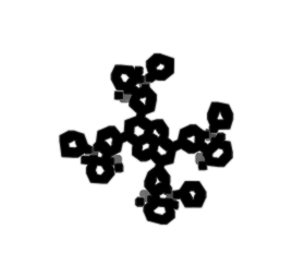 COC12CCCCC1(C)N(c1ccccc1)c1cc(-c3cc(-c4ccc5c(c4)C4(OC)CCCCC4(C)N5c4ccccc4)c4ccc5c(-c6ccc7c(c6)C6(OC)CCCCC6(C)N7c6ccccc6)cc(-c6ccc7c(c6)C6(OC)CCCCC6(C)N7c6ccccc6)c6ccc3c4c65)ccc12